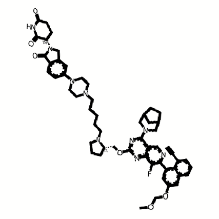 C#Cc1cccc2cc(OCOC)cc(-c3ncc4c(N5CC6CCC(C6)C5)nc(OC[C@@H]5CCCN5CCCCCN5CCN(c6ccc7c(c6)CN([C@H]6CCC(=O)NC6=O)C7=O)CC5)nc4c3F)c12